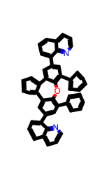 c1ccc(-c2cc(-c3cccc4cccnc34)cc3c2Oc2c(-c4ccccc4)cc(-c4cccc5cccnc45)cc2-c2ccccc2-3)cc1